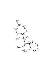 Cc1[nH]c2ccccc2c1C(C)(c1ccc(I)cc1)C(C)C